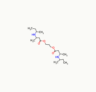 CCC(C)NC(C)CC(=O)OCCCOC(=O)CC(C)NC(C)CC